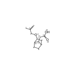 C=C(C)COC1CC2CCC1C2CC(=O)O